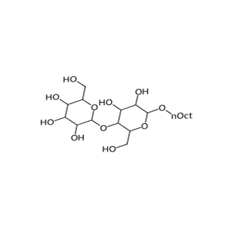 CCCCCCCCOC1OC(CO)C(OC2OC(CO)C(O)C(O)C2O)C(O)C1O